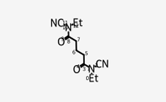 CCN(C#N)C(=O)CCCC(=O)N(C#N)CC